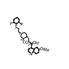 COc1ccc2nccc([C@@H](O)CC[C@@H]3CCN(CCSc4c(F)cccc4F)C[C@@H]3C(=O)O)c2c1